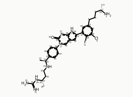 C[C@H](N)CCCc1cc(Cl)c(F)c(-c2cc3cn(-c4ccc([C@H](C)NCC[C@H](C)NC(=N)N)cc4)c(=O)nc3[nH]2)c1